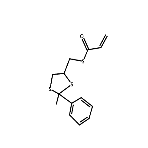 C=CC(=O)SCC1CSC(C)(c2ccccc2)S1